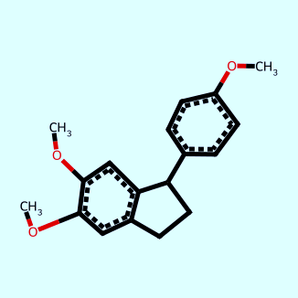 COc1ccc(C2CCc3cc(OC)c(OC)cc32)cc1